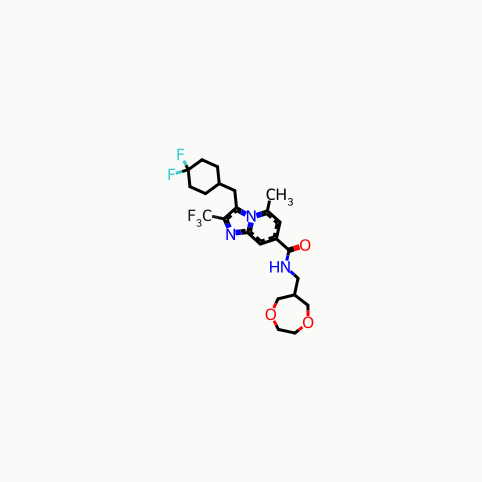 Cc1cc(C(=O)NCC2COCCOC2)cc2nc(C(F)(F)F)c(CC3CCC(F)(F)CC3)n12